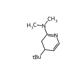 CN(C)C1=NC=CC(C(C)(C)C)C1